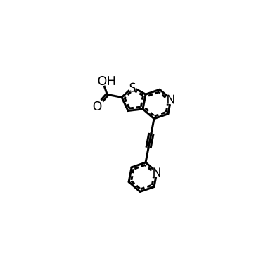 O=C(O)c1cc2c(C#Cc3ccccn3)cncc2s1